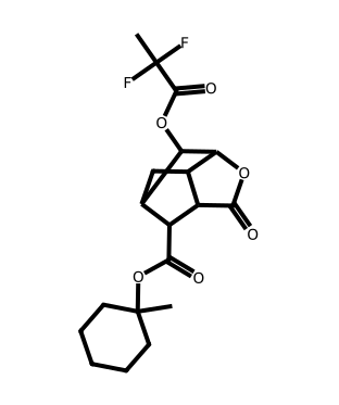 CC1(OC(=O)C2C3CC4C(OC(=O)C42)C3OC(=O)C(C)(F)F)CCCCC1